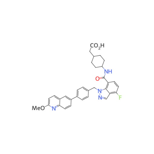 COc1ccc2cc(-c3ccc(Cn4ncc5c(F)ccc(C(=O)NC6CCC(CC(=O)O)CC6)c54)cc3)ccc2n1